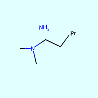 CC(C)CCN(C)C.N